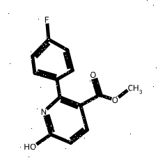 COC(=O)c1ccc(O)nc1-c1ccc(F)cc1